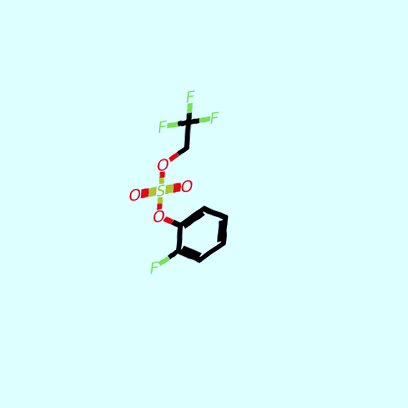 O=S(=O)(OCC(F)(F)F)Oc1ccccc1F